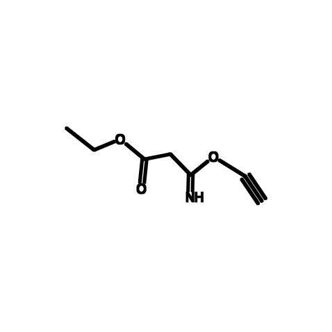 C#COC(=N)CC(=O)OCC